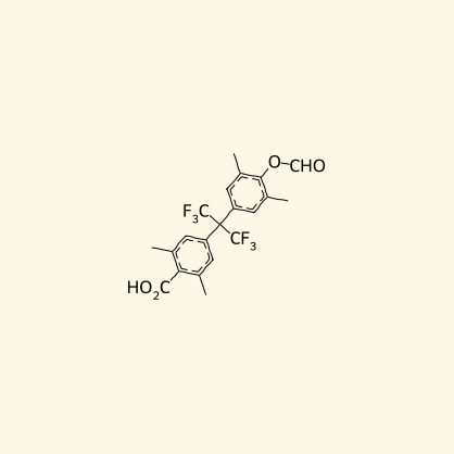 Cc1cc(C(c2cc(C)c(C(=O)O)c(C)c2)(C(F)(F)F)C(F)(F)F)cc(C)c1OC=O